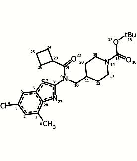 Cc1cc(Cl)cc2sc(N(CC3CCN(C(=O)OC(C)(C)C)CC3)C(=O)C3CCC3)nc12